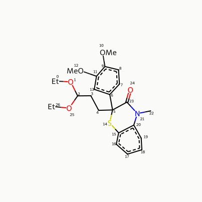 CCOC(CCC1(c2ccc(OC)c(OC)c2)Sc2ccccc2N(C)C1=O)OCC